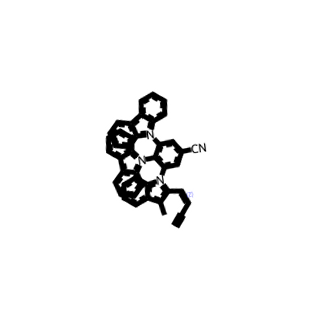 C#C/C=C\c1c(C)c2ccccc2n1-c1cc(C#N)cc(-n2c3ccccc3c3ccccc32)c1-n1c2ccccc2c2ccccc21